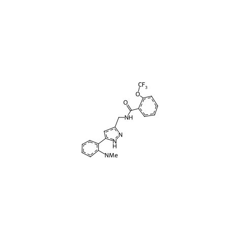 CNc1ccccc1-c1cc(CNC(=O)c2ccccc2OC(F)(F)F)n[nH]1